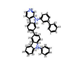 c1ccc(-c2cccc(-n3c4cnccc4c4ccc(-c5ccc6c(c5)c5ccccc5n6-c5ccccc5)cc43)c2)cc1